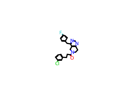 O=C(CCc1cccc(Cl)c1)N1CCc2ncnc(Cc3ccc(F)cc3)c2C1